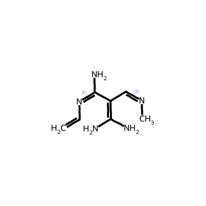 C=C/N=C(/N)C(/C=N\C)=C(N)N